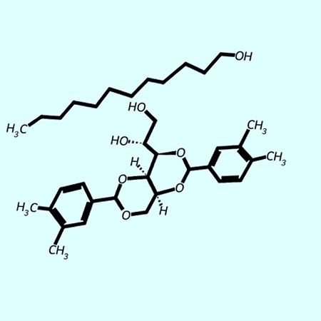 CCCCCCCCCCCCO.Cc1ccc(C2OC[C@@H]3OC(c4ccc(C)c(C)c4)O[C@H]([C@H](O)CO)[C@@H]3O2)cc1C